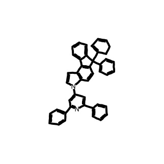 C1=CCCC(C2(c3ccccc3)c3ccccc3-c3c2ccc2c3ccn2-c2cc(-c3ccccc3)nc(-c3ccccc3)c2)=C1